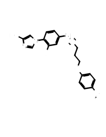 COc1ccc(OCCCS(=O)(=O)Nc2ccc(-n3cnc(C)c3)c(OC)c2)cc1